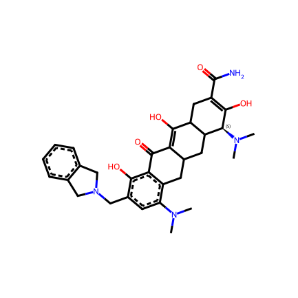 CN(C)c1cc(CN2Cc3ccccc3C2)c(O)c2c1CC1CC3C(CC(C(N)=O)=C(O)[C@H]3N(C)C)C(O)=C1C2=O